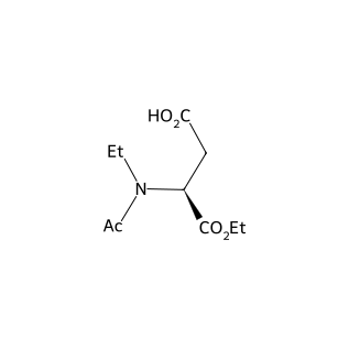 CCOC(=O)[C@H](CC(=O)O)N(CC)C(C)=O